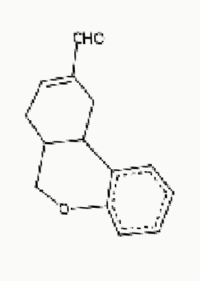 O=CC1=CCC2COc3ccccc3C2C1